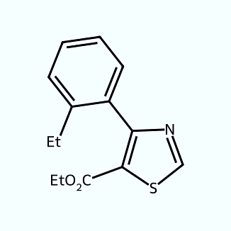 CCOC(=O)c1scnc1-c1ccccc1CC